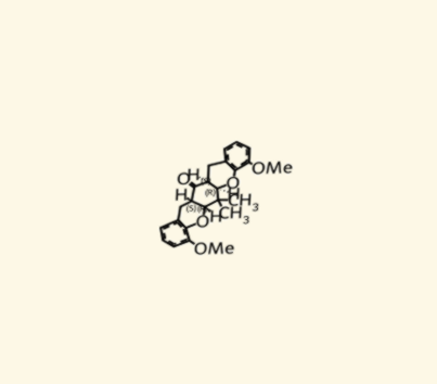 COc1cccc2c1O[C@@H]1[C@H](C2)C(=O)[C@H]2Cc3cccc(OC)c3O[C@H]2C1(C)C